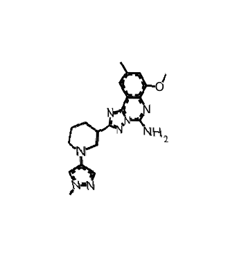 COc1cc(C)cc2c1nc(N)n1nc(C3CCCN(c4cnn(C)c4)C3)nc21